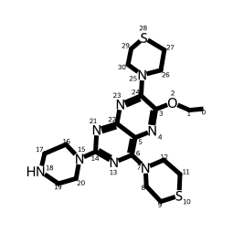 CCOc1nc2c(N3CCSCC3)nc(N3CCNCC3)nc2nc1N1CCSCC1